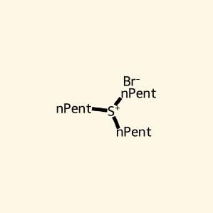 CCCCC[S+](CCCCC)CCCCC.[Br-]